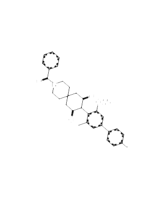 COc1cc(-c2ccc(F)cc2)cc(C)c1C1C(=O)CC2(CCN(C(=O)c3ccccc3)CC2)CC1=O